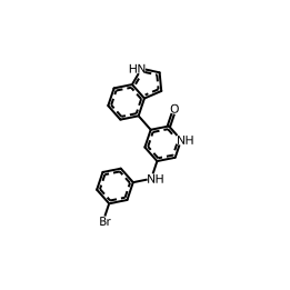 O=c1[nH]cc(Nc2cccc(Br)c2)cc1-c1cccc2[nH]ccc12